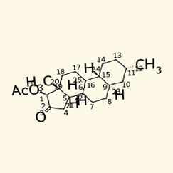 CC(=O)O[C@@H]1C(=O)C[C@@H]2[C@H]3CC[C@@H]4C[C@@H](C)CC[C@H]4[C@@H]3CC[C@@]12C